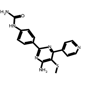 CSc1c(N)nc(-c2ccc(NC(N)=O)cc2)nc1-c1ccncc1